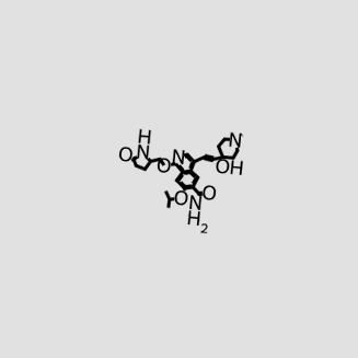 CC(C)Oc1cc2c(OCC3CCC(=O)N3)ncc(C#CC3(O)CCN(C)CC3)c2cc1C(N)=O